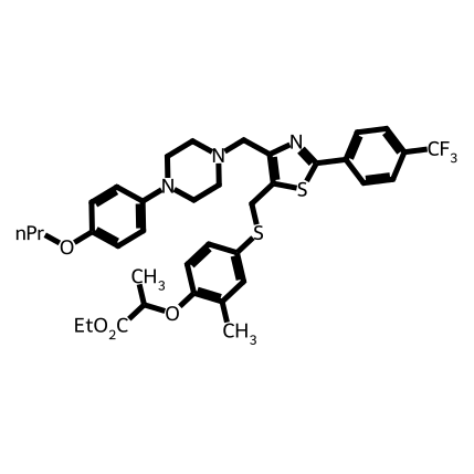 CCCOc1ccc(N2CCN(Cc3nc(-c4ccc(C(F)(F)F)cc4)sc3CSc3ccc(OC(C)C(=O)OCC)c(C)c3)CC2)cc1